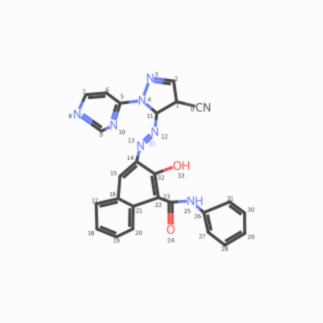 N#CC1C=NN(c2ccncn2)C1/N=N/c1cc2ccccc2c(C(=O)Nc2ccccc2)c1O